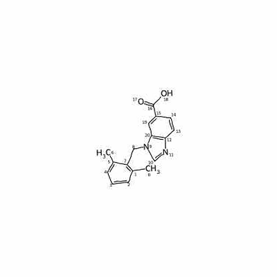 Cc1cccc(C)c1Cn1cnc2ccc(C(=O)O)cc21